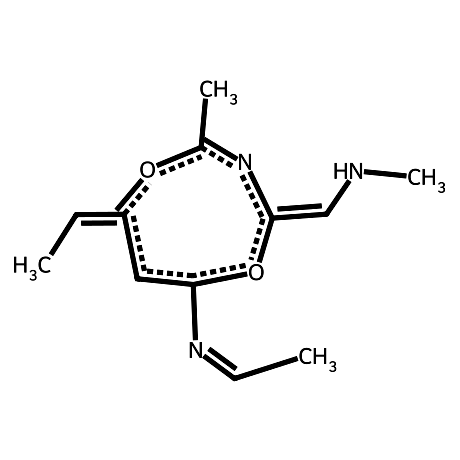 C/C=N\c1c/c(=C\C)oc(C)n/c(=C\NC)o1